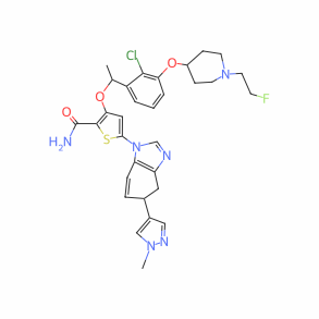 CC(Oc1cc(-n2cnc3c2C=CC(c2cnn(C)c2)C3)sc1C(N)=O)c1cccc(OC2CCN(CCF)CC2)c1Cl